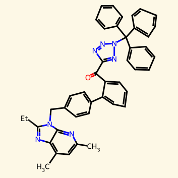 CCc1nc2c(C)cc(C)nc2n1Cc1ccc(-c2ccccc2C(=O)c2nnn(C(c3ccccc3)(c3ccccc3)c3ccccc3)n2)cc1